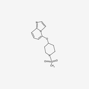 CS(=O)(=O)N1CCC(Oc2cccc3nccn23)CC1